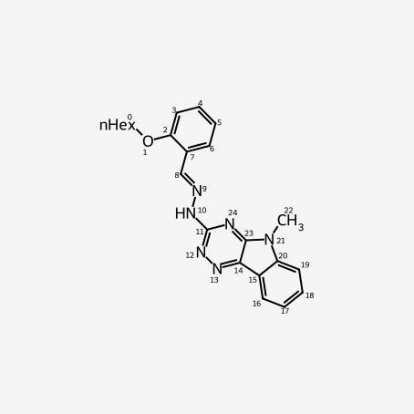 CCCCCCOc1ccccc1/C=N/Nc1nnc2c3ccccc3n(C)c2n1